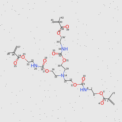 C=C(C)C(=O)OCCNC(=O)OCCN(CCOC(=O)NCCOC(=O)C(=C)C)CCOC(=O)NCCOC(=O)C(=C)C